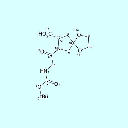 CC(C)(C)OC(=O)NCC(=O)N1CC2(C[C@H]1C(=O)O)OCCO2